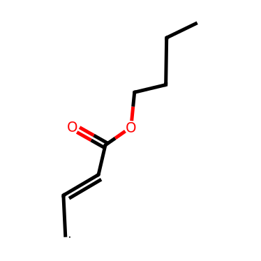 [CH2]C=CC(=O)OCCCC